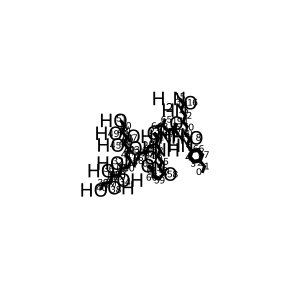 CCc1ccc(NC(=O)[C@H](CCCNC(N)=O)NC(=O)[C@@H](NC(=O)[C@H](CCCCN(C[C@H](O)[C@@H](O)[C@H](O)[C@H](O)CO)C[C@H](O)[C@@H](O)[C@H](O)[C@H](O)CO)NC(=O)CN2C(=O)C=CC2=O)C(C)C)cc1